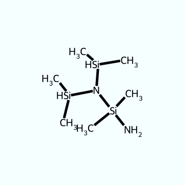 C[SiH](C)N([SiH](C)C)[Si](C)(C)N